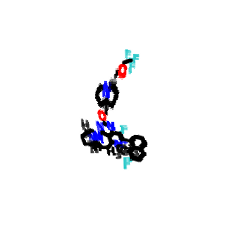 Cc1c(F)ccc2cccc(-c3c(F)c4nc(OC[C@@]56CCCN5[C@H](COCC(F)(F)F)CC6)nc5c4c([n+]3C)CC[C@@H]3[C@@H]4CC[C@H](CN53)N4)c12